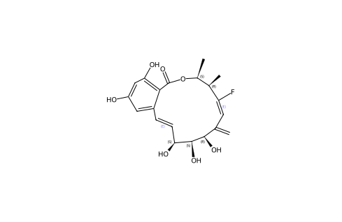 C=C1/C=C(/F)[C@H](C)[C@H](C)OC(=O)c2c(O)cc(O)cc2/C=C/[C@H](O)[C@H](O)[C@@H]1O